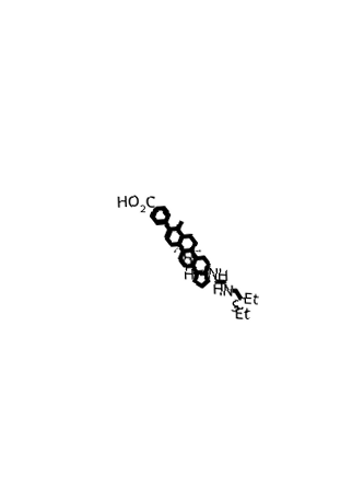 CCS[C@@H](CC)CNCCN[C@]12CCC[C@@H]1[C@H]1CCC3[C@@]4(C)CC=C(c5ccc(C(=O)O)cc5)C(C)C4CC[C@@]3(C)C1CC2